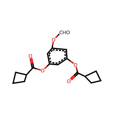 O=COc1cc(OC(=O)C2CCC2)cc(OC(=O)C2CCC2)c1